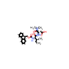 CC[C@H](C)[C@H](NC(=O)OCC1c2ccccc2-c2ccccc21)C(=O)N[C@@H](CC(=O)O)C(=O)N(C)C